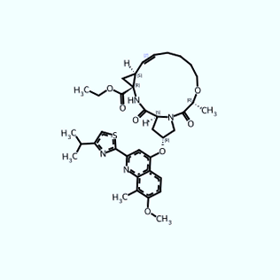 CCOC(=O)[C@@]12C[C@H]1/C=C\CCCCO[C@H](C)C(=O)N1C[C@H](Oc3cc(-c4nc(C(C)C)cs4)nc4c(C)c(OC)ccc34)C[C@H]1C(=O)N2